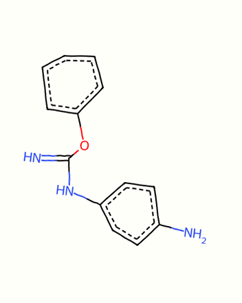 N=C(Nc1ccc(N)cc1)Oc1ccccc1